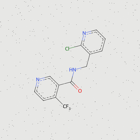 O=C(NCc1cccnc1Cl)c1cnccc1C(F)(F)F